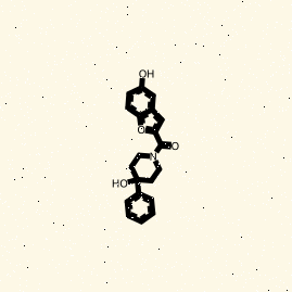 O=C(c1cc2cc(O)ccc2o1)N1CCC(O)(c2ccccc2)CC1